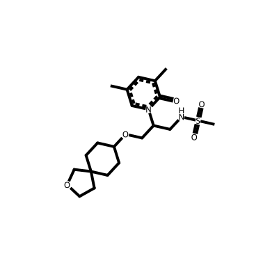 Cc1cc(C)c(=O)n(C(CNS(C)(=O)=O)COC2CCC3(CCOC3)CC2)c1